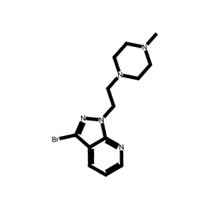 CN1CCN(CCn2nc(Br)c3cccnc32)CC1